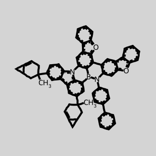 CC1(c2ccc3c(c2)c2cc(C4(C)CC=C5CC5C4)cc4c2n3-c2cc3c(oc5ccccc53)c3c2B4N(c2ccc(-c4ccccc4)cc2)c2cc4oc5ccccc5c4cc2-3)CC=C2CC2C1